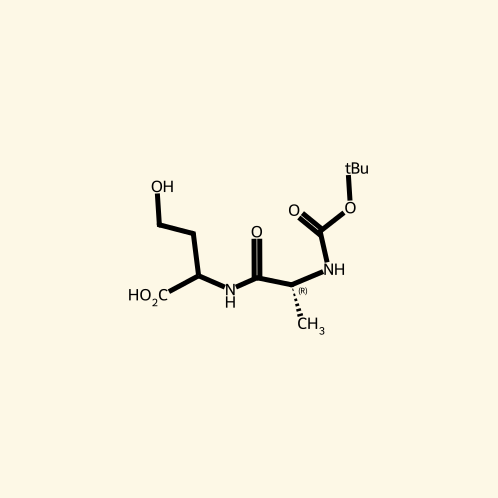 C[C@@H](NC(=O)OC(C)(C)C)C(=O)NC(CCO)C(=O)O